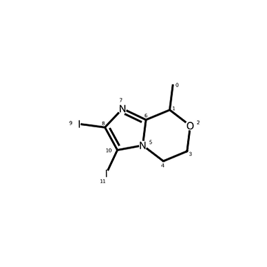 CC1OCCn2c1nc(I)c2I